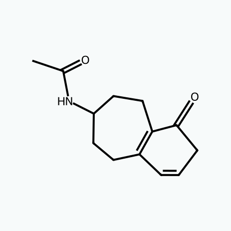 CC(=O)NC1CCC2=C(CC1)C(=O)CC=C2